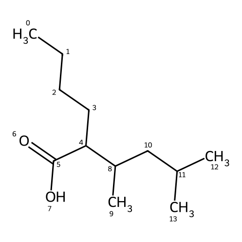 CCCCC(C(=O)O)C(C)CC(C)C